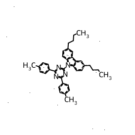 CCCCc1ccc2c(c1)c1cc(CCCC)ccc1n2-c1nc(-c2ccc(C)cc2)nc(-c2ccc(C)cc2)n1